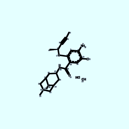 CC#C[C@H](C)Oc1cc(N)c(Cl)cc1C(=O)NC1CC2CN(C)CC(C1)N2C.Cl.Cl